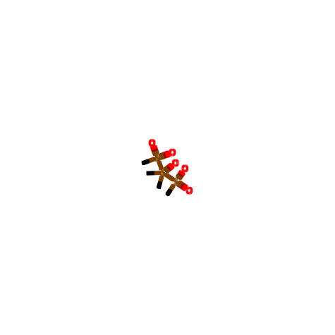 CS(=O)(=O)S(C)(C)(=O)S(C)(=O)=O